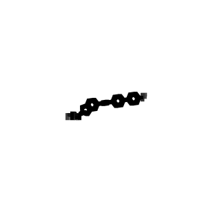 CCCCC1=Cc2cc(C#Cc3ccc(-c4ccc(F)cc4)cc3)ccc2C1